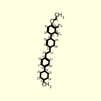 CCOC1=C(F)C(F)C(C2C=CC(CCc3ccc(C4CCC(C)CC4)cc3)CC2)C=C1